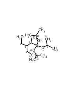 CCC(CC)C(C)[Si](OC(C)C)(OC(C)C)OC(C)C